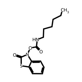 CCCCCCNC(=O)On1c(=O)sc2ccccc21